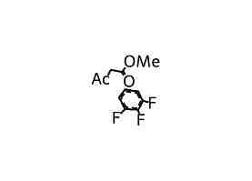 COC(=O)CC(C)=O.Fc1cccc(F)c1F